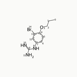 CCCOc1ccc(NC(=N)N)cc1Br